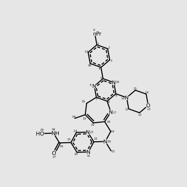 CCCc1ccc(-c2nc3c(c(N4CCOCC4)n2)N=C(CN(C)c2ncc(C(=O)NO)cn2)C=C(C)C3)cc1